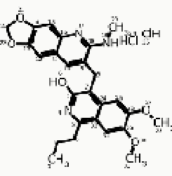 CCCc1nc(O)c(Cc2cc3cc4c(cc3nc2NC)OCO4)c2cc(OC)c(OC)cc12.Cl.Cl